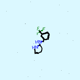 FC(F)(F)c1cccc(CNC2CCC=CCN2)c1